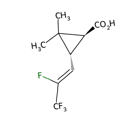 CC1(C)[C@@H](C=C(F)C(F)(F)F)[C@@H]1C(=O)O